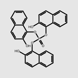 O=P(Oc1c(O)ccc2ccccc12)(Oc1c(O)ccc2ccccc12)Oc1c(O)ccc2ccccc12